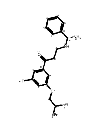 CCCC(CCC)COc1cc(F)cc(C(=O)CCN[C@@H](C)c2ccccc2)c1